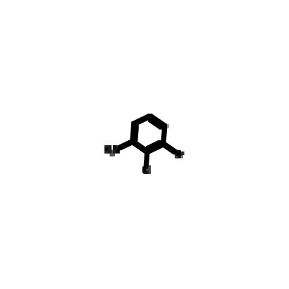 Nc1cc[c]c(Br)c1Cl